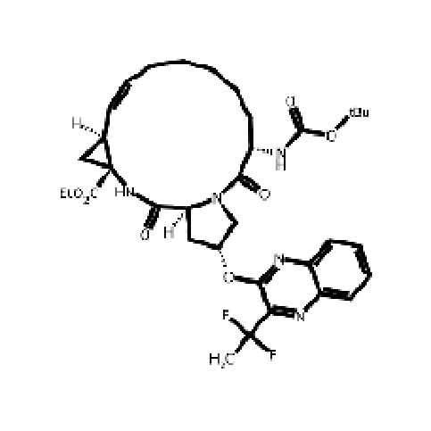 CCOC(=O)[C@@]12C[C@H]1/C=C\CCCCC[C@H](NC(=O)OC(C)(C)C)C(=O)N1C[C@H](Oc3nc4ccccc4nc3C(C)(F)F)C[C@H]1C(=O)N2